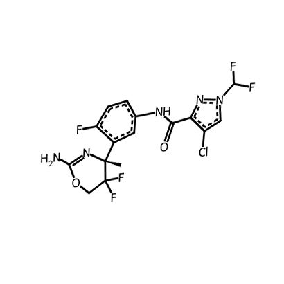 C[C@]1(c2cc(NC(=O)c3nn(C(F)F)cc3Cl)ccc2F)N=C(N)OCC1(F)F